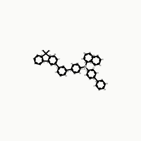 CC1(C)c2ccccc2-c2cc(-c3cccc(-c4ccc(N(c5ccc(-c6ccccc6)cc5)c5cccc6ccccc56)cc4)c3)ccc21